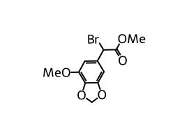 COC(=O)C(Br)c1cc(OC)c2c(c1)OCO2